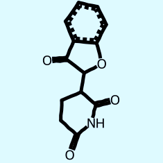 O=C1CCC(C2Oc3ccccc3C2=O)C(=O)N1